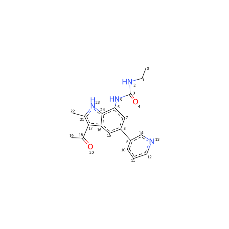 CCNC(=O)Nc1cc(-c2cccnc2)cc2c(C(C)=O)c(C)[nH]c12